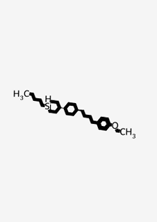 CCCCC[SiH]1CCC([C@H]2CC[C@H](CCCCc3ccc(OCC)cc3)CC2)CC1